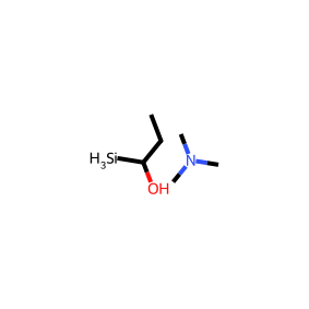 CCC(O)[SiH3].CN(C)C